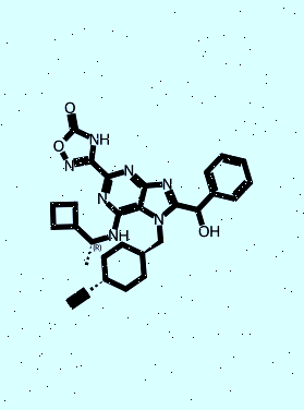 C#C[C@H]1CC[C@H](Cn2c(C(O)c3ccccc3)nc3nc(-c4noc(=O)[nH]4)nc(N[C@H](C)C4CCC4)c32)CC1